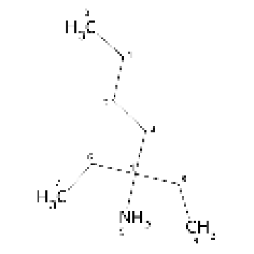 CCCCC(N)(CC)CC